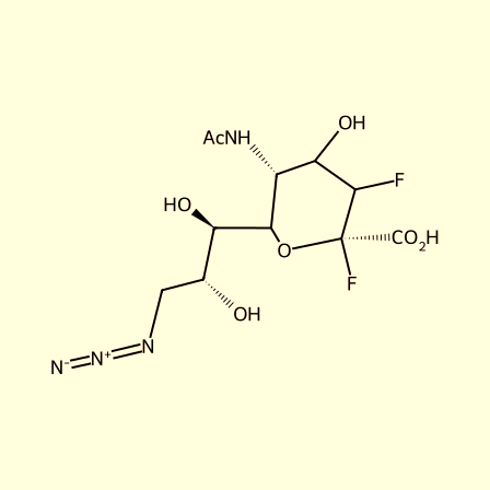 CC(=O)N[C@@H]1C(O)C(F)[C@](F)(C(=O)O)OC1[C@H](O)[C@H](O)CN=[N+]=[N-]